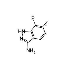 Cc1ccc2c(N)n[nH]c2c1F